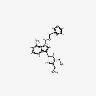 CSC[C@@H](O)[C@@H](CO)NCc1cn(COCc2ccccc2)c2c(N)ncnc12